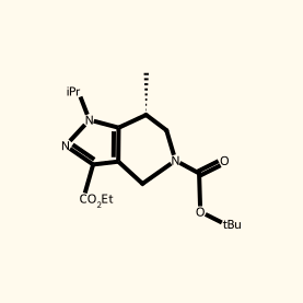 CCOC(=O)c1nn(C(C)C)c2c1CN(C(=O)OC(C)(C)C)C[C@H]2C